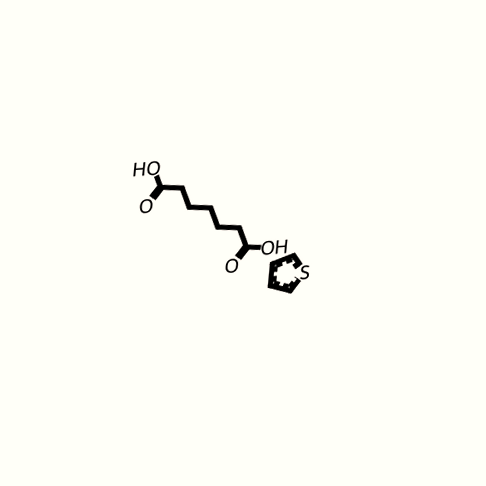 O=C(O)CCCCCC(=O)O.c1ccsc1